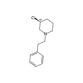 Cl[C@H]1CCCN(CCc2ccccc2)C1